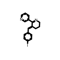 Ic1ccc(C=C2CCCN=C2c2cccnc2)cc1